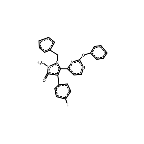 Cn1c(=O)c(-c2ccc(F)cc2)c(-c2ccnc(Oc3ccccc3)n2)n1Cc1ccccc1